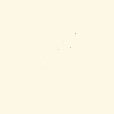 C1=CNCC=N1.CC1CC(=O)C2=C(C1)[C@H](C)Cc1c2ccc2ccccc12